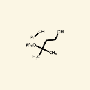 CC(C)O.COC(C)(C)CCO